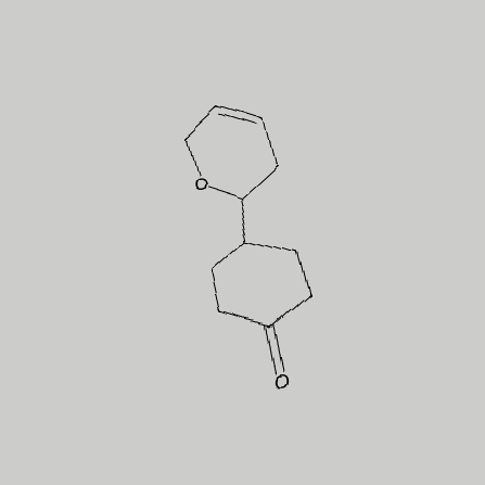 O=C1CCC(C2CC=CCO2)CC1